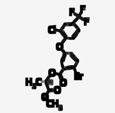 COC(=O)[C@H](C)OC(=O)c1cc(Oc2ccc(C(F)(F)F)cc2Cl)ccc1Br